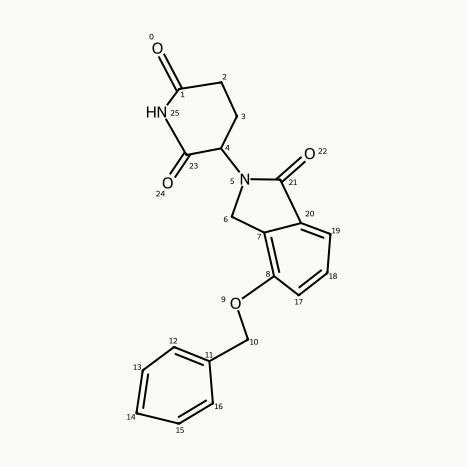 O=C1CCC(N2Cc3c(OCc4ccccc4)cccc3C2=O)C(=O)N1